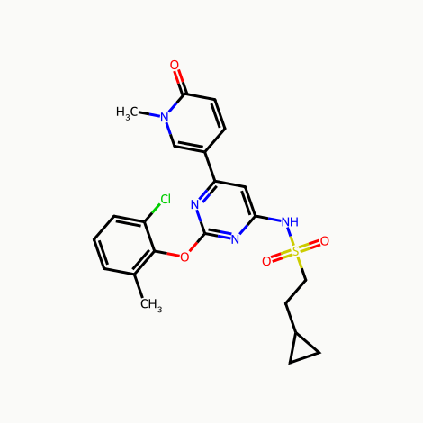 Cc1cccc(Cl)c1Oc1nc(NS(=O)(=O)CCC2CC2)cc(-c2ccc(=O)n(C)c2)n1